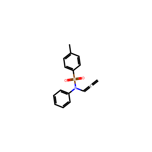 C=C=CN(c1ccccc1)S(=O)(=O)c1ccc(C)cc1